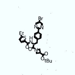 CCc1ccc(C(=O)NC(Cc2ccc(-c3ncc(Br)cn3)cc2)C(=O)N2CC(C(=O)OC(C)(C)C)C2)s1